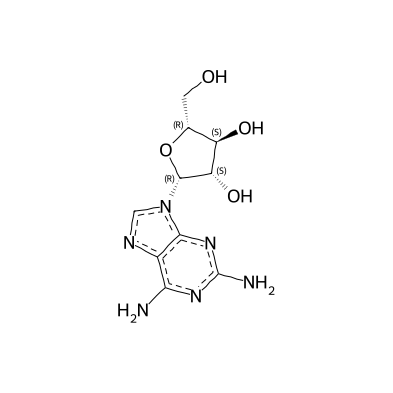 Nc1nc(N)c2ncn([C@@H]3O[C@H](CO)[C@@H](O)[C@@H]3O)c2n1